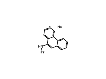 CC(C)Nc1cc2ccccc2c2cnccc12.[Na]